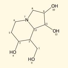 OCC1C(O)CCN2CC(O)C(O)C12